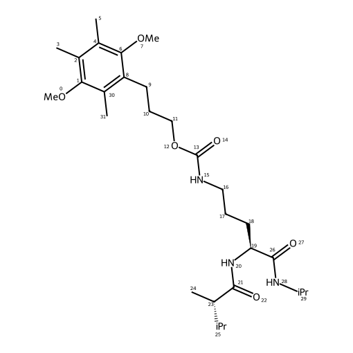 COc1c(C)c(C)c(OC)c(CCCOC(=O)NCCC[C@H](NC(=O)[C@@H](C)C(C)C)C(=O)NC(C)C)c1C